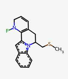 CSCC1CC2=C(c3cc4ccccc4n31)N(F)CC=C2